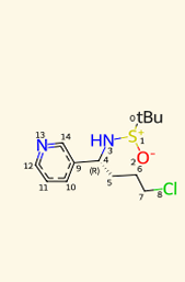 CC(C)(C)[S+]([O-])N[C@H](CCCCl)c1cccnc1